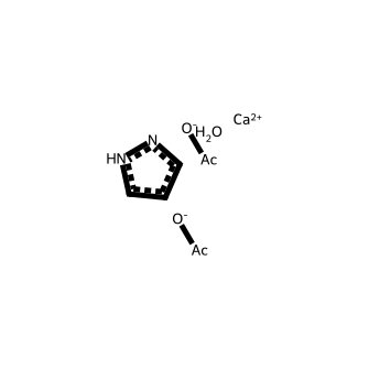 CC(=O)[O-].CC(=O)[O-].O.[Ca+2].c1cn[nH]c1